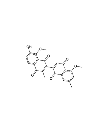 COc1cc(C)cc2c1C(=O)C=C(C1=C(C)C(=O)c3ccc(O)c(OC)c3C1=O)C2=O